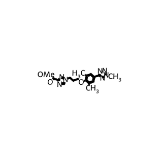 COC(=O)c1ncn(CCCOc2c(C)cc(-c3nnn(C)n3)cc2C)n1